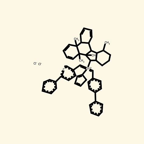 CC1CCCC2C1C1C3C=CC=CC3C3(C)C=CC=CC3(C)C1(C)[CH]2[Zr+2](=[CH]c1ccc(-c2ccccc2)cc1)(=[CH]c1ccc(-c2ccccc2)cc1)[C]1=CC=CC1.[Cl-].[Cl-]